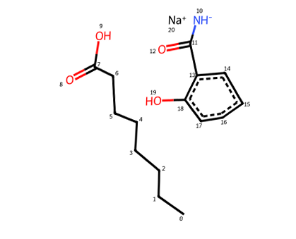 CCCCCCCC(=O)O.[NH-]C(=O)c1ccccc1O.[Na+]